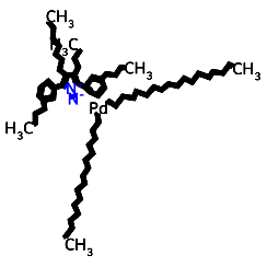 CCCCCCCCC1=C(c2cccc(CCCC)c2)[N+](=[N-])C(c2cccc(CCCC)c2)=C1CCCC.CCCCCCCCCCCCCCCCC[CH2][Pd][CH2]CCCCCCCCCCCCCCCCC